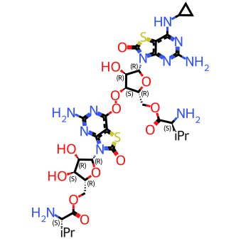 CC(C)[C@H](N)C(=O)OC[C@H]1O[C@@H](n2c(=O)sc3c(OO[C@H]4[C@@H](O)[C@H](n5c(=O)sc6c(NC7CC7)nc(N)nc65)O[C@@H]4COC(=O)[C@@H](N)C(C)C)nc(N)nc32)[C@H](O)[C@@H]1O